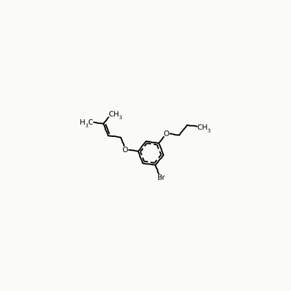 CCCOc1cc(Br)cc(OCC=C(C)C)c1